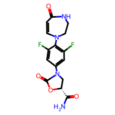 NC(=O)[C@H]1CN(c2cc(F)c(N3C=CC(=O)NCC3)c(F)c2)C(=O)O1